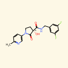 Cc1ccc(N2CC[C@@](O)(C(=O)NCc3cc(F)cc(F)c3)C2=O)cn1